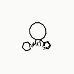 OC1(c2cccs2)CCCCCCCCCCC1CN1CCCCC1